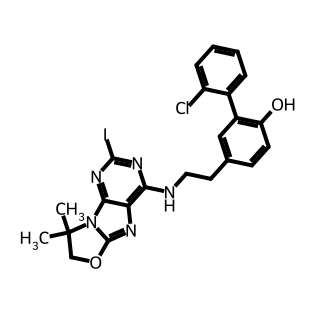 CC1(C)COc2nc3c(NCCc4ccc(O)c(-c5ccccc5Cl)c4)nc(I)nc3n21